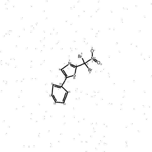 O=[N+]([O-])C(Br)(Br)c1ncc(-c2ccccc2)s1